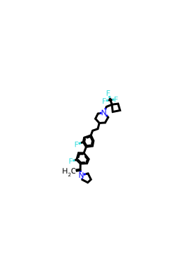 C=C(c1ccc(-c2ccc(CCC3CCN(CC4(C(F)(F)F)CCC4)CC3)cc2F)cc1F)N1CCCC1